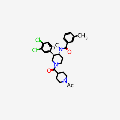 CC(=O)N1CCC(C(=O)N2CC[C@@H](N(C)C(=O)c3cccc(C)c3)[C@H](c3ccc(Cl)c(Cl)c3)C2)CC1